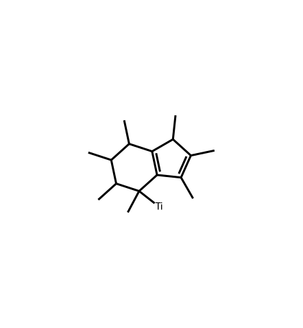 CC1=C(C)C(C)C2=C1[C](C)([Ti])C(C)C(C)C2C